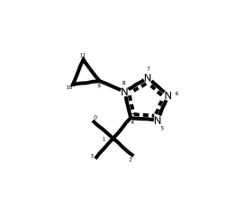 CC(C)(C)c1nnnn1C1CC1